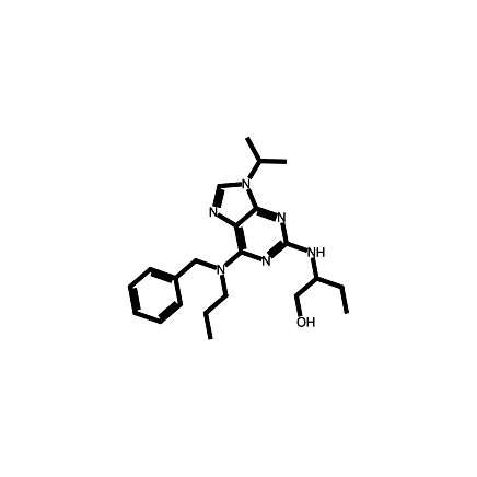 CCCN(Cc1ccccc1)c1nc(NC(CC)CO)nc2c1ncn2C(C)C